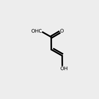 O=CC(=O)C=CO